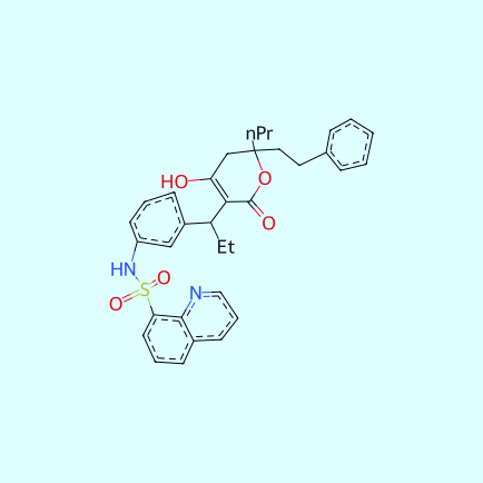 CCCC1(CCc2ccccc2)CC(O)=C(C(CC)c2cccc(NS(=O)(=O)c3cccc4cccnc34)c2)C(=O)O1